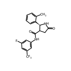 Cc1ccccc1[C@H]1NC(=O)CC1C(=O)Nc1cc(F)cc(C(F)(F)F)c1